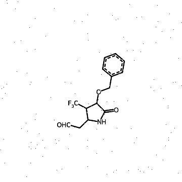 O=CCC1NC(=O)C(OCc2ccccc2)C1C(F)(F)F